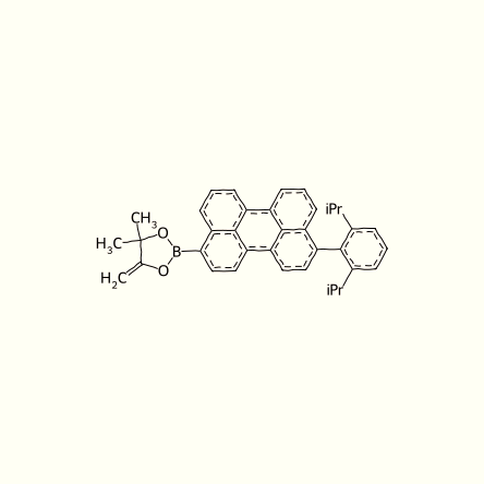 C=C1OB(c2ccc3c4ccc(-c5c(C(C)C)cccc5C(C)C)c5cccc(c6cccc2c63)c54)OC1(C)C